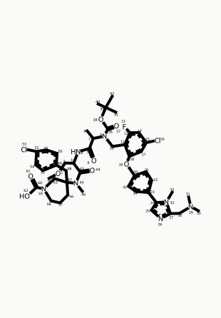 COCC(NC(=O)C(C)N(Cc1c(F)cc(Cl)cc1Oc1ccc(-c2cnc(CN(C)C)n2C)cc1)C(=O)OC(C)(C)C)C(=O)N(C)C1(Cc2ccc(Cl)cc2)CCCN(C(=O)O)C1